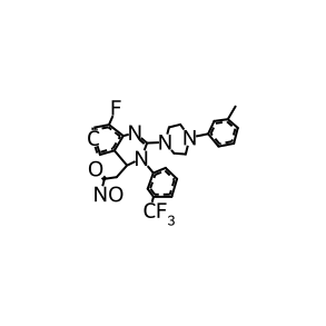 Cc1cccc(N2CCN(C3=Nc4c(F)cccc4C(CC(=O)N=O)N3c3cccc(C(F)(F)F)c3)CC2)c1